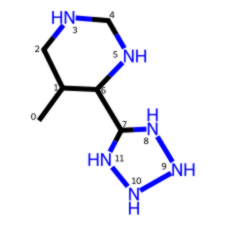 CC1CNCNC1C1NNNN1